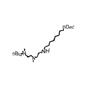 CCCCCCCCCCCCCCCCCCNCCN(C)CCN(C)CCCC